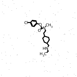 CCNCC1CCC(CCN(C)C(=O)Oc2ccc(Cl)cc2)CC1